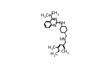 C=C/C(C)=C\C(=C/C)CNC[C@H]1CC[C@@H](Nc2nc(N(C)C)c3ccccc3n2)CC1